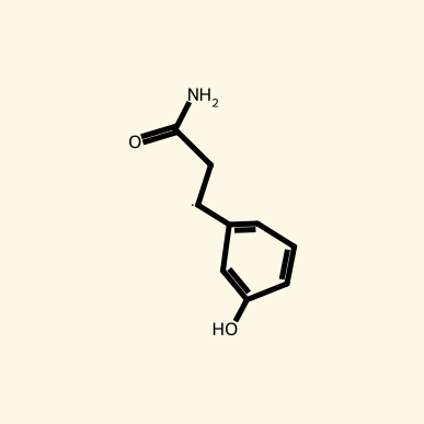 NC(=O)C[CH]c1cccc(O)c1